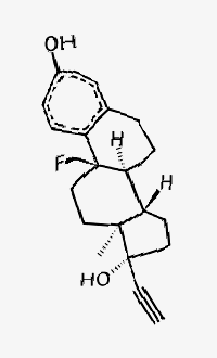 C#C[C@]1(O)CC[C@H]2[C@@H]3CCc4cc(O)ccc4[C@@]3(F)CC[C@@]21C